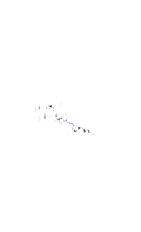 CC(CCCC(C)(C)O)[C@H]1CCC2/C(=C/C=C3\C[C@@H](O)C[C@H](OC(=O)CBr)C3)CCC[C@@]21C